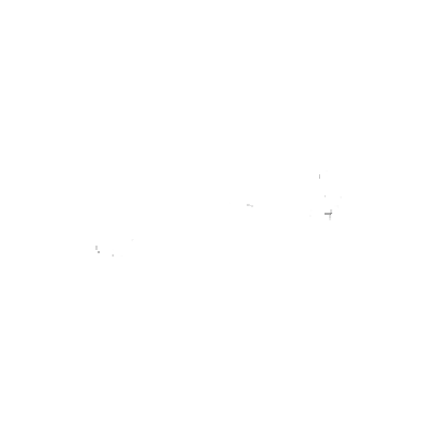 CC(=O)OCCCCCCCCCCCP(=O)(O)O